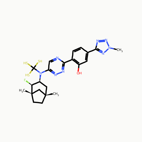 Cn1nnc(-c2ccc(-c3ncc(N([C@H]4C[C@]5(C)CC[C@@](C)(C5)[C@H]4F)C(S)(S)S)nn3)c(O)c2)n1